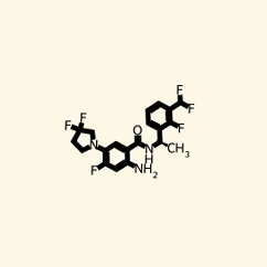 C[C@@H](NC(=O)c1cc(N2CCC(F)(F)C2)c(F)cc1N)c1cccc(C(F)F)c1F